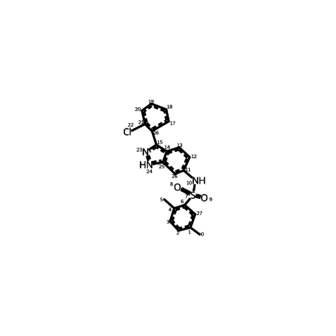 Cc1ccc(C)c(S(=O)(=O)Nc2ccc3c(-c4ccccc4Cl)n[nH]c3c2)c1